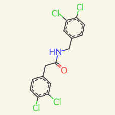 O=C(Cc1ccc(Cl)c(Cl)c1)NCc1ccc(Cl)c(Cl)c1